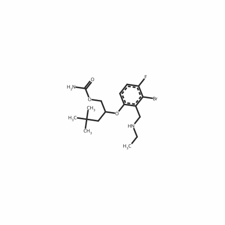 CCNCc1c(OC(COC(N)=O)CC(C)(C)C)ccc(F)c1Br